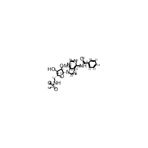 CO[C@@H]1[C@H](O)[C@@H](CNS(C)(=O)=O)O[C@H]1n1cnc2c(NC(=O)c3ccccc3)ncnc21